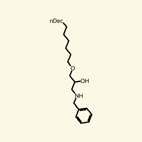 CCCCCCCCCCCCCCCCOCC(O)CNCc1ccccc1